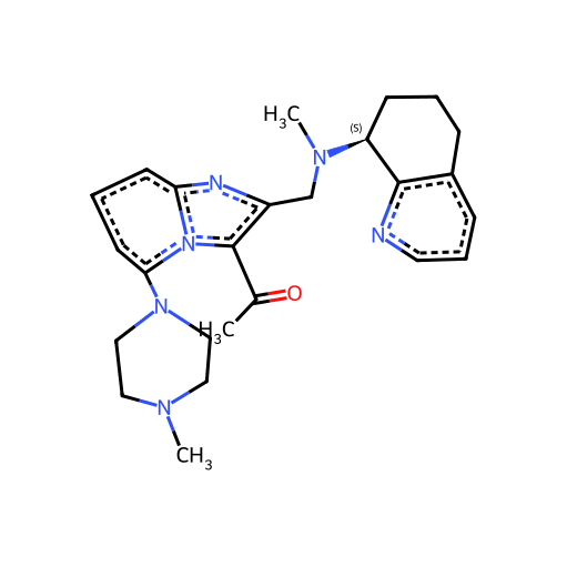 CC(=O)c1c(CN(C)[C@H]2CCCc3cccnc32)nc2cccc(N3CCN(C)CC3)n12